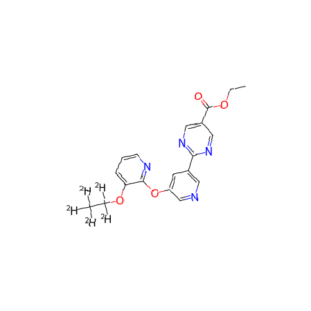 [2H]C([2H])([2H])C([2H])([2H])Oc1cccnc1Oc1cncc(-c2ncc(C(=O)OCC)cn2)c1